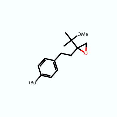 COC(C)(C)C1(CCc2ccc(C(C)(C)C)cc2)CO1